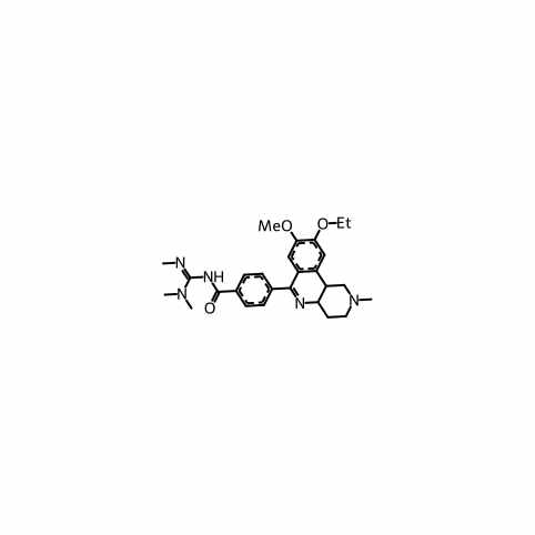 CCOc1cc2c(cc1OC)C(c1ccc(C(=O)NC(=NC)N(C)C)cc1)=NC1CCN(C)CC21